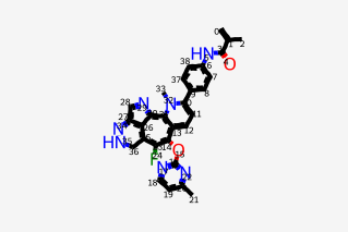 C=C(C)C(=O)Nc1ccc(C2=CC=c3c(Oc4nccc(C)n4)c(F)c4c5c(cnc-5c3N2C)=NNC4)cc1